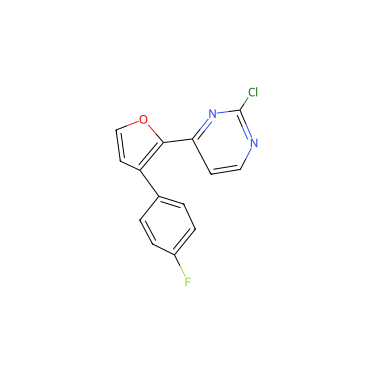 Fc1ccc(-c2ccoc2-c2ccnc(Cl)n2)cc1